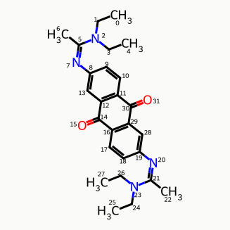 CCN(CC)C(C)=Nc1ccc2c(c1)C(=O)c1ccc(N=C(C)N(CC)CC)cc1C2=O